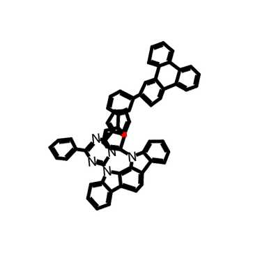 c1ccc(-c2nc(-c3ccccc3)nc(-n3c4ccccc4c4ccc5c6ccccc6n(-c6cccc(-c7cccc(-c8ccc9c%10ccccc%10c%10ccccc%10c9c8)c7)c6)c5c43)n2)cc1